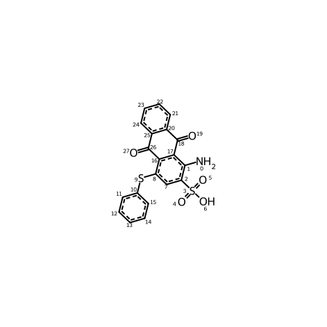 Nc1c(S(=O)(=O)O)cc(Sc2ccccc2)c2c1C(=O)c1ccccc1C2=O